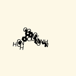 CCN(CC(=O)NCCN(C)C)C(=O)[C@@H](C)Oc1ccc2c(-c3ccc(NC(=O)O)cc3Cl)cc(=O)oc2c1